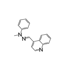 CN(N=Cc1ccnc2ccccc12)c1ccccc1